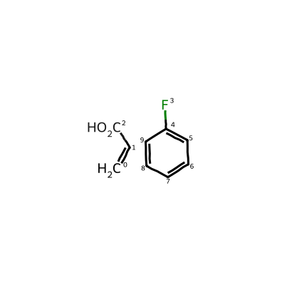 C=CC(=O)O.Fc1ccccc1